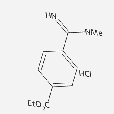 CCOC(=O)c1ccc(C(=N)NC)cc1.Cl